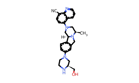 C[C@@H]1CN(c2ccc(C#N)c3ncccc23)C[C@@H]2c3ccc(N4CCN[C@H](CO)C4)cc3CN12